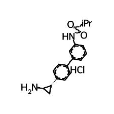 CC(C)S(=O)(=O)Nc1cccc(-c2ccc([C@@H]3C[C@H]3N)cc2)c1.Cl